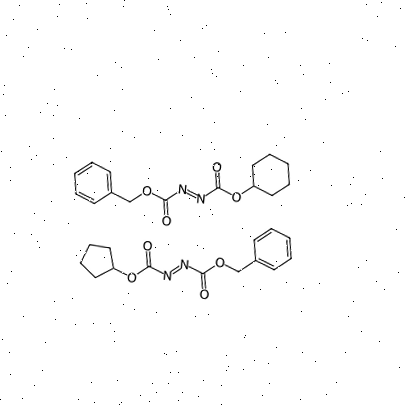 O=C(N=NC(=O)OC1CCCC1)OCc1ccccc1.O=C(N=NC(=O)OC1CCCCC1)OCc1ccccc1